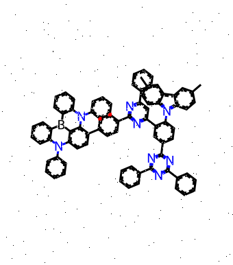 Cc1ccc2c(c1)c1cc(C)ccc1n2-c1ccc(-c2nc(-c3ccccc3)nc(-c3ccccc3)n2)cc1-c1cc(-c2ccccc2)nc(-c2ccc(-c3ccc4c5c3N(c3ccccc3)c3ccccc3B5c3ccccc3N4c3ccccc3)cc2)n1